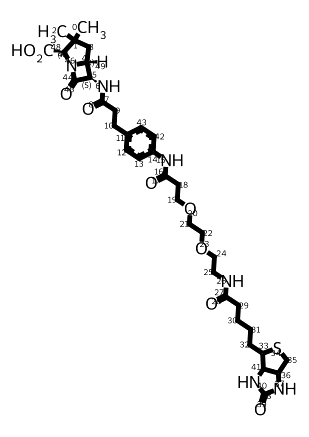 CC1(C)C[C@@H]2[C@H](NC(=O)CCc3ccc(NC(=O)CCOCCOCCNC(=O)CCCCC4SCC5NC(=O)NC54)cc3)C(=O)N2[C@H]1C(=O)O